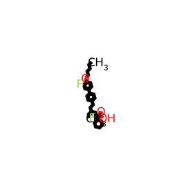 CCCCCOc1ccc(-c2ccc(CCC(CC)C[C@@](F)(C(=O)O)C3CCCCC3)cc2)cc1F